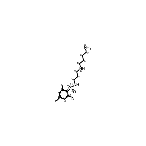 Cc1cc(C)c(S(=O)(=O)NCCCNCCCCN)c(C)c1